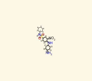 CN(C1CCCCC1)S(=O)(=O)c1ccc(Nc2ccc(N)cc2)c([N+](=O)[O-])c1